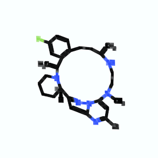 C=C1CCc2ccc(F)cc2C(=C)N2CCCC[C@H]2c2cc3nc(CC)cc(n3n2)N(C)CCN1